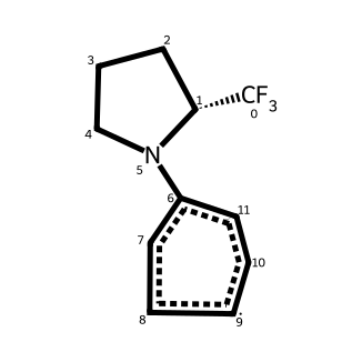 FC(F)(F)[C@H]1CCCN1c1cc[c]cc1